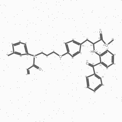 C=CC(=O)N(CCCOc1ccc(CC(Nc2ccccc2C(=O)c2ccccc2)C(=O)OC)cc1)c1cccc(C)c1